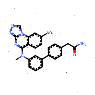 CN(c1cccc(-c2ccc(CC(N)=O)cc2)c1)c1nc2nncn2c2cc([N+](=O)[O-])ccc12